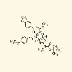 COC(=O)[C@H]1O[C@@H]2SC(N(C)C(=O)OC(C)(C)C)=N[C@@H]2[C@@H](OCc2ccc(OC)cc2)[C@@H]1OCc1ccc(OC)cc1